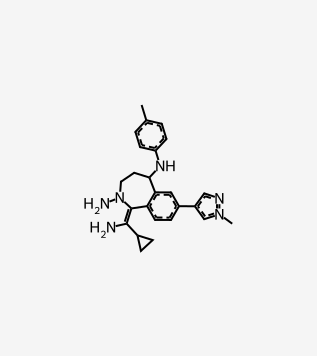 Cc1ccc(NC2CCN(N)/C(=C(\N)C3CC3)c3ccc(-c4cnn(C)c4)cc32)cc1